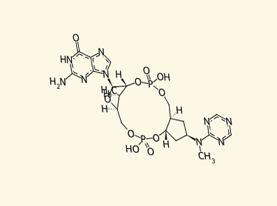 C[C@H]1[C@H]2OP(=O)(O)OC[C@H]3C[C@@H](N(C)c4ncncn4)C[C@@H]3OP(=O)(O)OC[C@H]1O[C@H]2n1cnc2c(=O)[nH]c(N)nc21